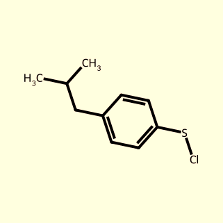 CC(C)Cc1ccc(SCl)cc1